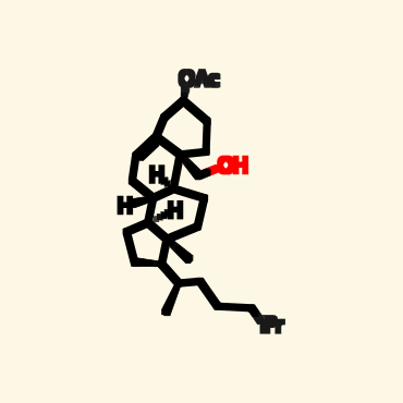 CC(=O)O[C@H]1CC[C@@]2(CO)C(=CC[C@@H]3[C@@H]2CC[C@]2(C)[C@@H]([C@H](C)CCCC(C)C)CC[C@@H]32)C1